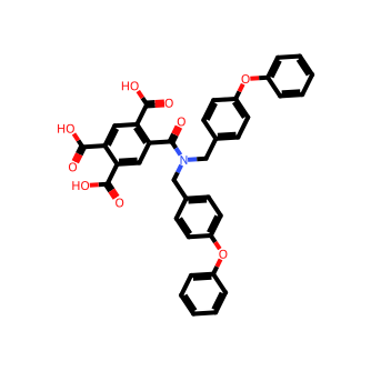 O=C(O)c1cc(C(=O)O)c(C(=O)N(Cc2ccc(Oc3ccccc3)cc2)Cc2ccc(Oc3ccccc3)cc2)cc1C(=O)O